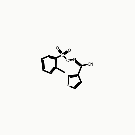 Cc1ccccc1S(=O)(=O)ON=C(C#N)c1ccsc1